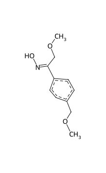 COCC(=NO)c1ccc(COC)cc1